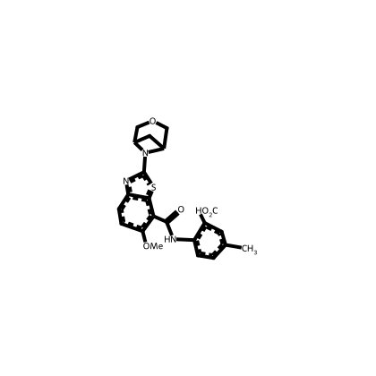 COc1ccc2nc(N3C4COCC3C4)sc2c1C(=O)Nc1ccc(C)cc1C(=O)O